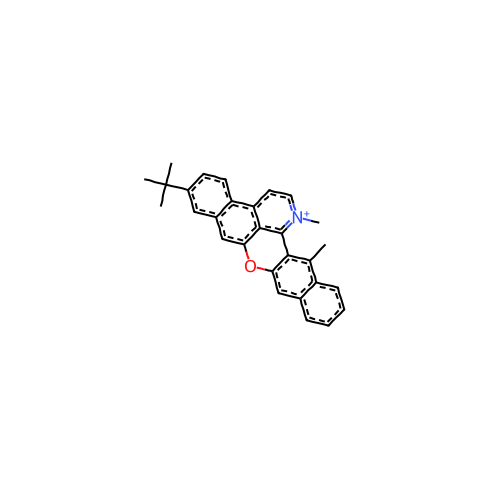 Cc1c2c(cc3ccccc13)Oc1cc3cc(C(C)(C)C)ccc3c3cc[n+](C)c-2c13